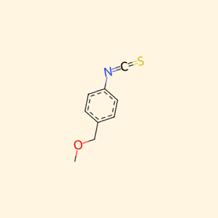 COCc1ccc(N=C=S)cc1